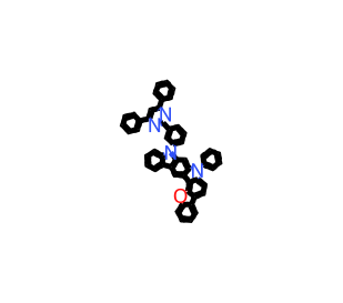 c1ccc(-c2cc(-c3ccccc3)nc(-c3cccc(-n4c5ccccc5c5cc6c7c8oc9ccccc9c8ccc7n(-c7ccccc7)c6cc54)c3)n2)cc1